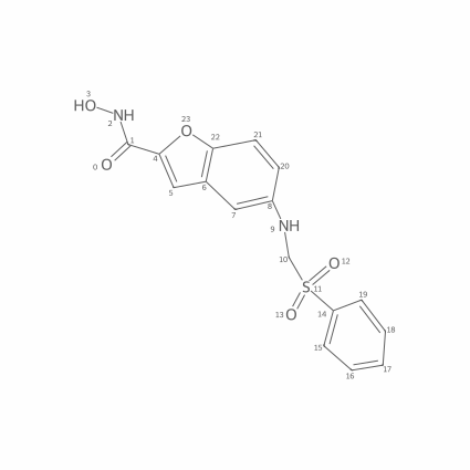 O=C(NO)c1cc2cc(NCS(=O)(=O)c3ccccc3)ccc2o1